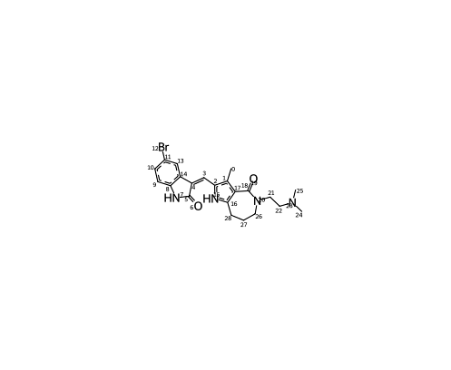 Cc1c(/C=C2\C(=O)Nc3ccc(Br)cc32)[nH]c2c1C(=O)N(CCN(C)C)CCC2